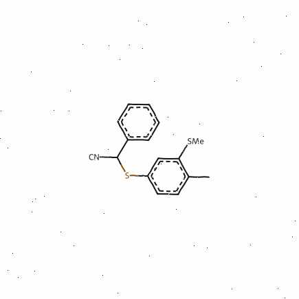 [C-]#[N+]C(Sc1ccc(C)c(SC)c1)c1ccccc1